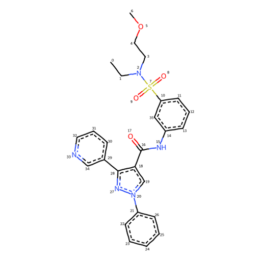 CCN(CCOC)S(=O)(=O)c1cccc(NC(=O)c2cn(-c3ccccc3)nc2-c2cccnc2)c1